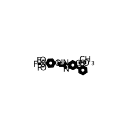 CS(=O)(=O)c1ccccc1-c1ccc2[nH]c(COc3ccc(S(=O)(=O)C(F)(F)F)cc3)nc2c1